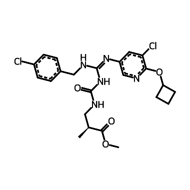 COC(=O)[C@@H](C)CNC(=O)N/C(=N\c1cnc(OC2CCC2)c(Cl)c1)NCc1ccc(Cl)cc1